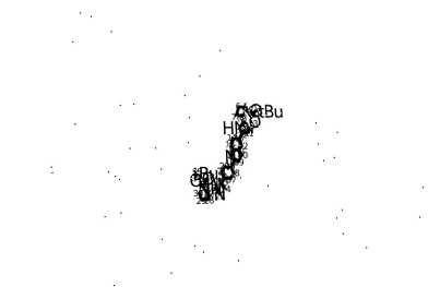 CC(C)(C)OC(=O)N1CCC[C@H]1C1=NCC(c2ccc3nc(C4CCC(c5cnc([C@@H]6CCCN6C(=O)OC(C)(C)C)[nH]5)CC4)ccc3c2)N1